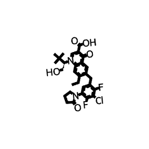 CCc1cc2c(cc1Cc1cc(N3CCCC3=O)c(F)c(Cl)c1F)c(=O)c(C(=O)O)cn2[C@H](CO)C(C)(C)C